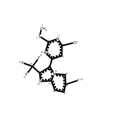 CSc1nc(Cl)cc(-c2c(C(F)(F)F)nc3ccc(F)cn23)n1